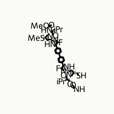 COC(=O)N[C@H](C(=O)N1C[C@@H](SC)CC1c1nc(F)c(-c2ccc(-c3ccc(-c4[nH]c([C@@H]5C[C@H](CS)CN5C(=O)[C@@H](COOC=N)C(C)C)nc4F)cc3)cc2)[nH]1)C(C)C